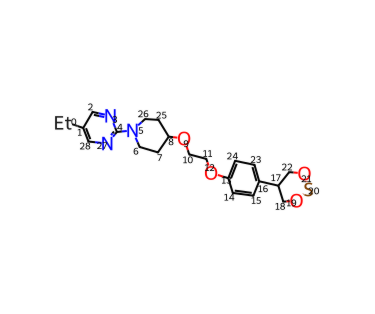 CCc1cnc(N2CCC(OCCOc3ccc(C4COSOC4)cc3)CC2)nc1